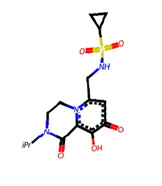 CC(C)N1CCn2c(CNS(=O)(=O)C3CC3)cc(=O)c(O)c2C1=O